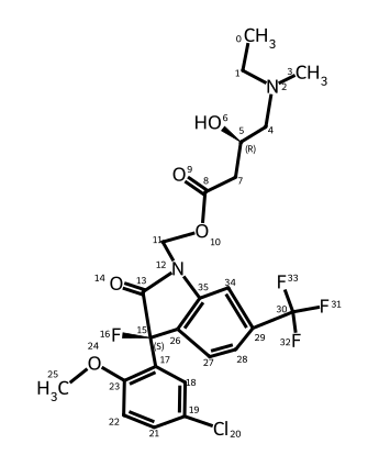 CCN(C)C[C@H](O)CC(=O)OCN1C(=O)[C@@](F)(c2cc(Cl)ccc2OC)c2ccc(C(F)(F)F)cc21